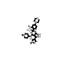 COc1cc(N2CCOCC2)ccc1C1(N)N=C2NNC(c3cnn(C)c3)=C2C(NC2CCN(C)CC2)=N1